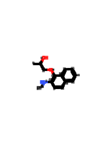 CC(O)COc1c(NC(C)C)ccc2ccccc12